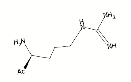 CC(=O)[C@@H](N)CCCNC(=N)N